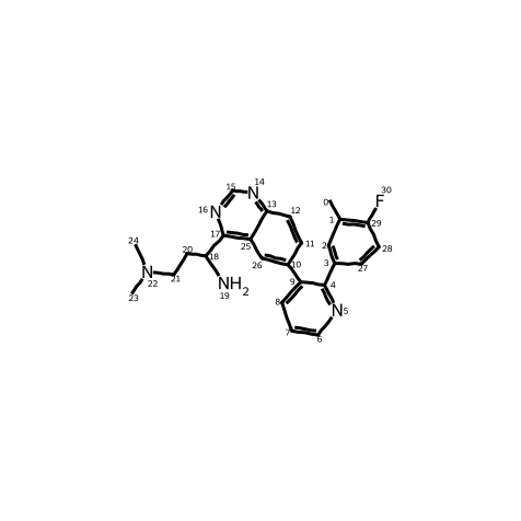 Cc1cc(-c2ncccc2-c2ccc3ncnc(C(N)CCN(C)C)c3c2)ccc1F